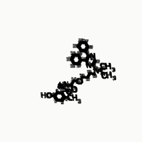 Cc1ccc(O)cc1S(=O)(=O)NC(=O)COCCCCN(c1cnc(-c2ccccc2)c(-c2ccccc2)n1)C(C)C